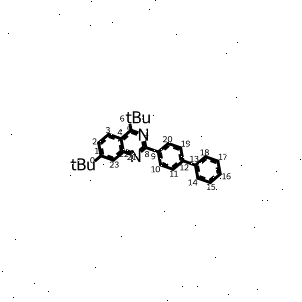 CC(C)(C)c1ccc2c(C(C)(C)C)nc(-c3ccc(-c4ccccc4)cc3)nc2c1